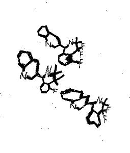 CC1(C)N=C(c2cnc3ccccc3c2)c2cccc(F)c2C1(C)C.CC1(C)N=C(c2cnc3ccccc3c2)c2cccc(F)c2C1(F)F.CC1(C)N=C(c2cnc3ccccc3c2)c2ccccc2C1(F)F